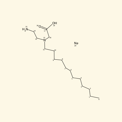 CCCCCCCCCCCCN(CCN)CC(=O)O.[Na]